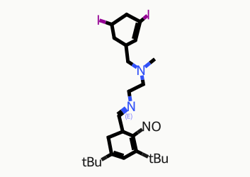 CN(CC/N=C/C1CC(C(C)(C)C)=CC(C(C)(C)C)=C1N=O)CC1C=C(I)CC(I)C1